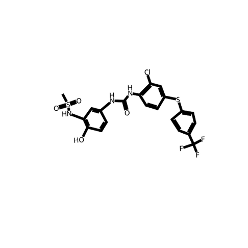 CS(=O)(=O)Nc1cc(NC(=O)Nc2ccc(Sc3ccc(C(F)(F)F)cc3)cc2Cl)ccc1O